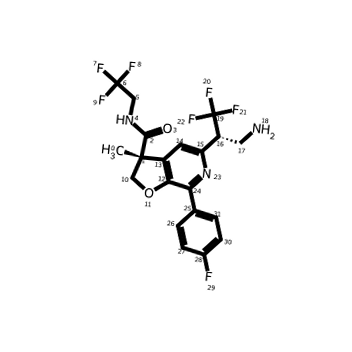 C[C@]1(C(=O)NCC(F)(F)F)COc2c1cc([C@@H](CN)C(F)(F)F)nc2-c1ccc(F)cc1